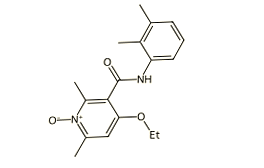 CCOc1cc(C)[n+]([O-])c(C)c1C(=O)Nc1cccc(C)c1C